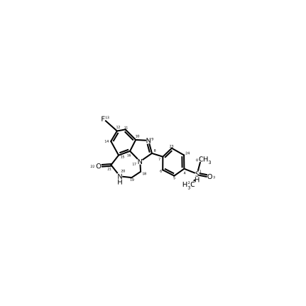 C[SH](C)(=O)c1ccc(-c2nc3cc(F)cc4c3n2CCNC4=O)cc1